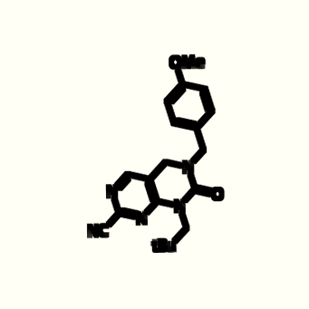 COc1ccc(CN2Cc3cnc(C#N)nc3N(CC(C)(C)C)C2=O)cc1